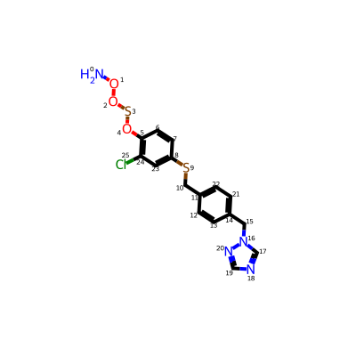 NOOSOc1ccc(SCc2ccc(Cn3cncn3)cc2)cc1Cl